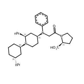 CCC[C@@H]1CCC[C@@H](N2CC[C@H](N(CC(=O)N3CCC[C@H]3C(=O)O)c3ccccc3)C[C@@H]2CCC)C1